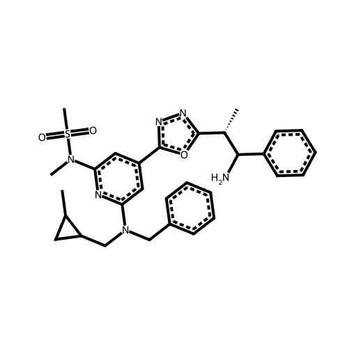 CC1CC1CN(Cc1ccccc1)c1cc(-c2nnc([C@H](C)C(N)c3ccccc3)o2)cc(N(C)S(C)(=O)=O)n1